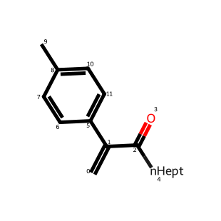 C=C(C(=O)CCCCCCC)c1ccc(C)cc1